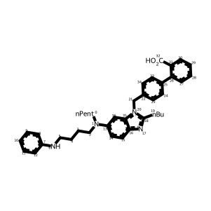 CCCCCN(CCCCNc1ccccc1)c1ccc2nc(CCCC)n(Cc3ccc(-c4ccccc4C(=O)O)cc3)c2c1